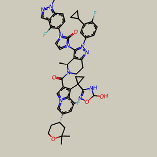 C[C@H]1c2c(nn(-c3ccc(F)c(C4CC4)c3)c2-n2ccn(-c3ccc4c(cnn4C)c3F)c2=O)CCN1C(=O)c1cn2cc([C@H]3CCOC(C)(C)C3)cc(F)c2c1C1(C2=NOC(O)N2)CC1